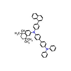 CC1(C)CCC(C)(C)c2cc(N(c3ccc(-c4ccc(N(c5ccccc5)c5ccccc5)cc4)cc3)c3ccc(-c4cccc5ccccc45)cc3)ccc21